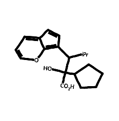 CC(C)C(c1ccc2cccoc1-2)C(O)(C(=O)O)C1CCCC1